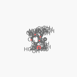 COC1C(N)CC(O[C@@]23c4ccc(c(Cl)c42)Oc2cc4cc(c2O[C@@H]2OC(CO)[C@@H](O)C(O)C2OC2O[C@@H](C)C(O)C(O)[C@@H]2O)Oc2ccc(cc2)[C@H]2OC(=O)N[C@H]2C(=O)N[C@@H](Cc2ccccc2)C(=O)N[C@@H]4C(=O)N[C@@H]2C(=O)N[C@@H]3C(=O)N[C@H](C(=O)O)c3cc(O)cc(O[C@@H]4OC(CO)[C@@H](O)C(O)C4O)c3-c3cc2ccc3CO)O[C@H]1C